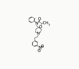 CC1OC2(CCN(CCc3cccc([N+](=O)[O-])c3)CC2)CN(c2ccccc2)C1=O